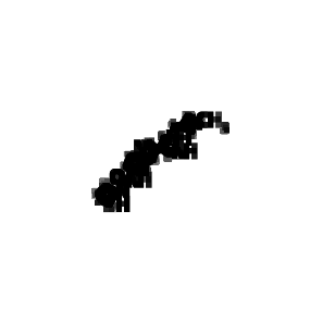 CN1CC(CN/C=C(\C=N)c2cnc3ccc(NC(=O)NC4CCCC4)nc3c2)C1